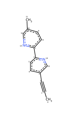 CC#Cc1ccc(-c2ccc(C)cn2)nc1